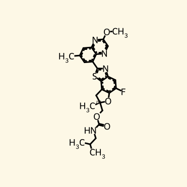 COc1cnc2c(-c3nc4cc(F)c5c(c4s3)C[C@@](C)(COC(=O)NCC(C)C)O5)cc(C)cc2n1